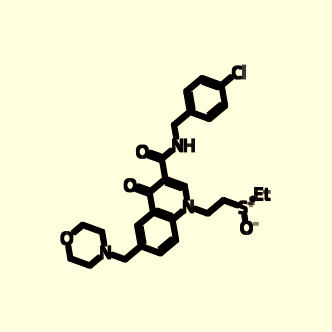 CC[S+]([O-])CCn1cc(C(=O)NCc2ccc(Cl)cc2)c(=O)c2cc(CN3CCOCC3)ccc21